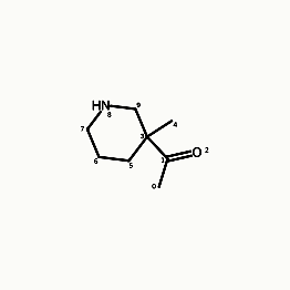 CC(=O)C1(C)CCCNC1